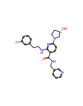 O=C(NCc1cccnc1)c1ccc(N2CC[C@H](O)C2)nc1NCCc1cccc(F)c1